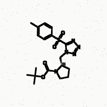 Cc1ccc(S(=O)(=O)c2nnnn2C[C@@H]2CCCN2C(=O)OC(C)(C)C)cc1